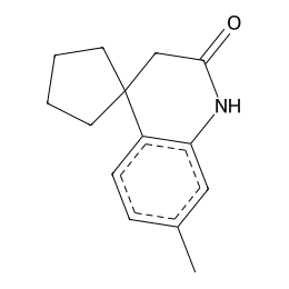 Cc1ccc2c(c1)NC(=O)CC21CCCC1